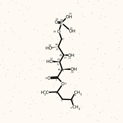 CC(C)CC(C)OC(=O)[C@H](O)[C@@H](O)[C@H](O)[C@H](O)COP(=O)(O)O